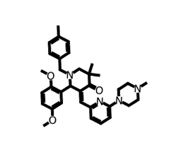 COc1ccc(OC)c(C2/C(=C/c3cccc(N4CCN(C)CC4)n3)C(=O)C(C)(C)CN2Cc2ccc(C)cc2)c1